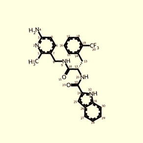 Cc1nc(N)ccc1CNC(=O)[C@H](Cc1ccccc1C(F)(F)F)NC(=O)c1cc2ccccc2[nH]1